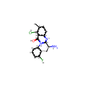 Cc1ccc2nc([C@H](C)N)n(-c3cccc(F)c3)c(=O)c2c1Cl